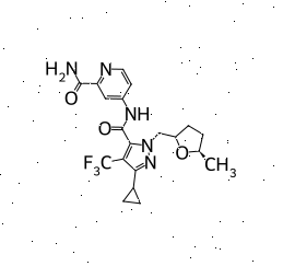 C[C@@H]1CCC(Cn2nc(C3CC3)c(C(F)(F)F)c2C(=O)Nc2ccnc(C(N)=O)c2)O1